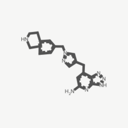 Nc1cc(Cc2cnn(Cc3ccc4c(c3)CCNC4)c2)c2nn[nH]c2n1